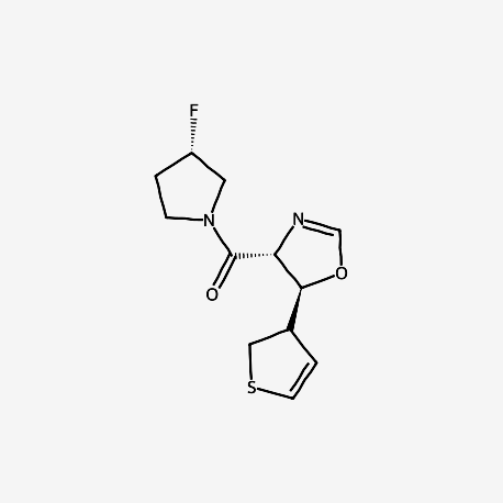 O=C([C@@H]1N=CO[C@H]1C1C=CSC1)N1CC[C@H](F)C1